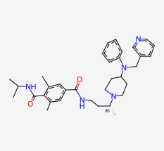 Cc1cc(C(=O)NCC[C@@H](C)N2CCC(N(Cc3cccnc3)c3ccccc3)CC2)cc(C)c1C(=O)NC(C)C